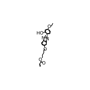 C=CC(=O)OCCCCOc1ccc2nn(-c3ccc(OCC)cc3O)nc2c1